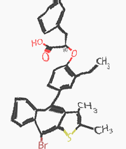 CCc1cc(-c2c3ccccc3c(Br)c3sc(C)c(C)c23)ccc1O[C@H](Cc1ccccc1)C(=O)O